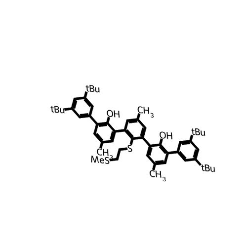 CSCCSc1c(-c2cc(C)cc(-c3cc(C(C)(C)C)cc(C(C)(C)C)c3)c2O)cc(C)cc1-c1cc(C)cc(-c2cc(C(C)(C)C)cc(C(C)(C)C)c2)c1O